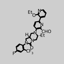 CCOc1ncccc1-c1ccc(N2C[C@H]3CN(c4ccc(F)cc4C(F)(F)F)C(=O)N3C[C@H]2CC)c(C=O)n1